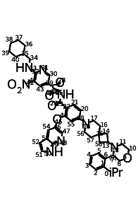 CC(C)c1ccccc1[C@@H]1COCCN1C1CC2(CCN(c3ccc(C(=O)NS(=O)(=O)c4cnc(NCC5CCCCC5)c([N+](=O)[O-])c4)c(Oc4cnc5[nH]ccc5c4)c3)CC2)C1